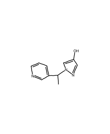 CC(c1cccnc1)n1cc(O)cn1